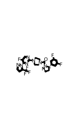 O=C(N1CCN(c2ncc(F)c(-n3nccc3C(F)(F)F)n2)CC1)N1N=CC[C@H]1c1cc(F)cc(F)c1